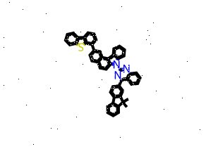 CC1(C)c2ccccc2-c2ccc(-c3nc(-n4c5ccccc5c5c6cc(-c7cccc8c7sc7ccccc78)ccc6ccc54)nc4ccccc34)cc21